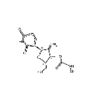 C=C1[C@H](n2ccc(=O)[nH]c2=O)O[C@H](CO)[C@H]1OC(=O)NO